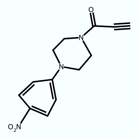 C#CC(=O)N1CCN(c2ccc([N+](=O)[O-])cc2)CC1